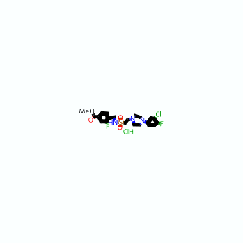 COC(=O)c1ccc(CNS(=O)(=O)CCN2CCN(c3ccc(F)c(Cl)c3)CC2)c(F)c1.Cl